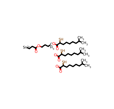 CC(C)CCCCCC(S)C(=O)[O-].CC(C)CCCCCC(S)C(=O)[O-].CC(C)CCCCCC(S)C(=O)[O-].CCCCOC(=O)C[CH2][Sn+3]